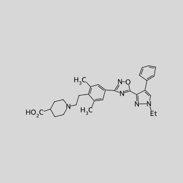 CCn1cc(-c2ccccc2)c(-c2nc(-c3cc(C)c(CCN4CCC(C(=O)O)CC4)c(C)c3)no2)n1